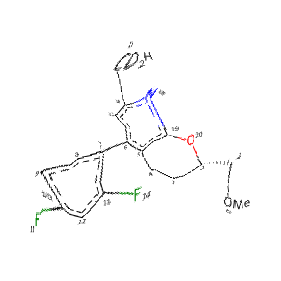 COC[C@@H]1CCc2c(-c3ccc(F)cc3F)cc(C(=O)O)nc2O1